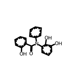 O=C(c1ccccc1O)N(c1ccccc1)c1cccc(O)c1O